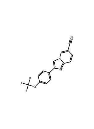 N#Cc1ccc2nc(-c3ccc(OC(F)(F)F)cc3)cn2c1